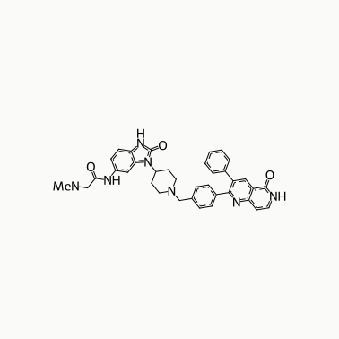 CNCC(=O)Nc1ccc2[nH]c(=O)n(C3CCN(Cc4ccc(-c5nc6cc[nH]c(=O)c6cc5-c5ccccc5)cc4)CC3)c2c1